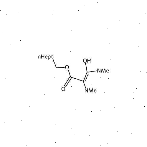 [CH2-][NH2+]/C(O)=C(\[NH2+][CH2-])C(=O)OCCCCCCCC